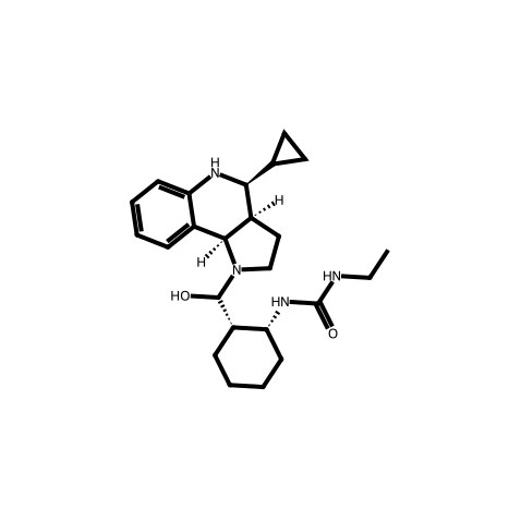 CCNC(=O)N[C@@H]1CCCC[C@@H]1C(O)N1CC[C@@H]2[C@H](C3CC3)Nc3ccccc3[C@@H]21